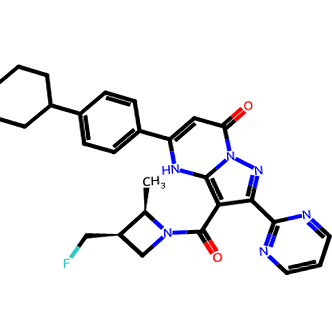 C[C@@H]1[C@H](CF)CN1C(=O)c1c(-c2ncccn2)nn2c(=O)cc(-c3ccc(C4CCCCC4)cc3)[nH]c12